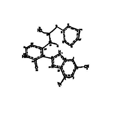 CCc1cc(C#N)cc2[nH]c(-c3c(N(C)C(O)Cc4ccccc4)cc[nH]c3=O)nc12